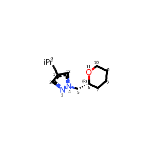 CC(C)c1cnn(C[C@H]2CCCCO2)c1